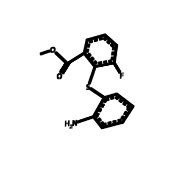 COC(=O)c1cccc(F)c1Sc1ccccc1N